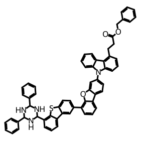 O=C(CCc1cccc2c1c1ccccc1n2-c1ccc2c(c1)oc1c(-c3ccc4sc5c(C6NC(c7ccccc7)NC(c7ccccc7)N6)cccc5c4c3)cccc12)OCc1ccccc1